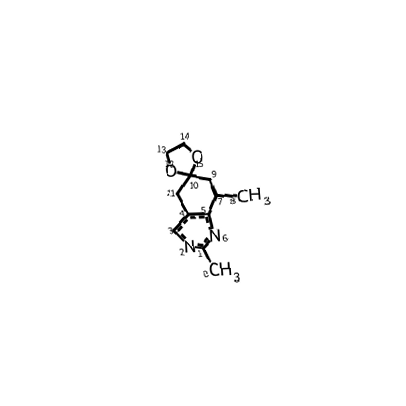 Cc1ncc2c(n1)C(C)CC1(C2)OCCO1